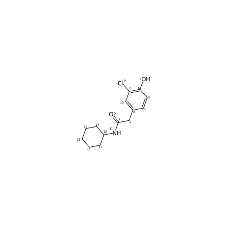 O=C(Cc1ccc(O)c(Cl)c1)NC1CCCCC1